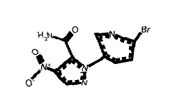 NC(=O)c1c([N+](=O)[O-])cnn1-c1ccc(Br)nc1